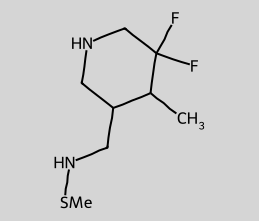 CSNCC1CNCC(F)(F)C1C